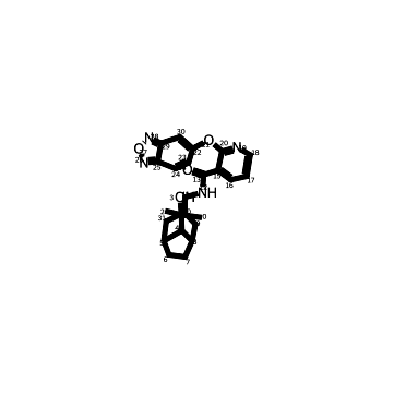 CC(C)(O)C1C2CCC1CC(CNC(=O)c1cccnc1Oc1ccc3nonc3c1)C2